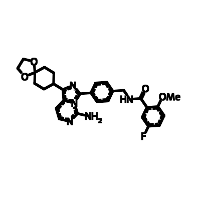 COc1ccc(F)cc1C(=O)NCc1ccc(-c2nc(C3CCC4(CC3)OCCO4)c3ccnc(N)n23)cc1